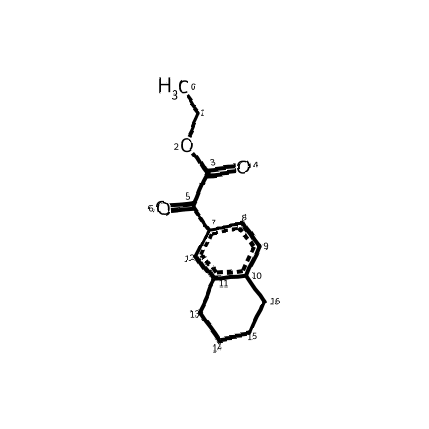 CCOC(=O)C(=O)c1ccc2c(c1)CCCC2